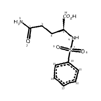 NC(=O)CC[C@H](NS(=O)(=O)c1ccccc1)C(=O)O